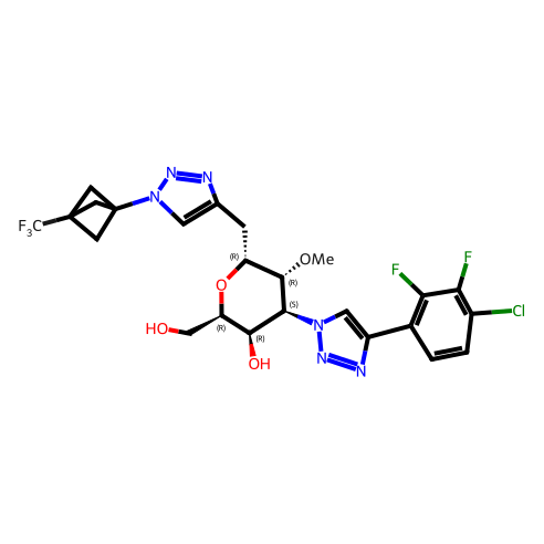 CO[C@@H]1[C@@H](n2cc(-c3ccc(Cl)c(F)c3F)nn2)[C@@H](O)[C@@H](CO)O[C@@H]1Cc1cn(C23CC(C(F)(F)F)(C2)C3)nn1